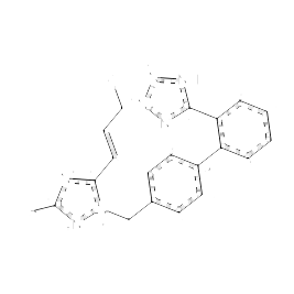 CC/C=C/c1nc(O)nn1Cc1ccc(-c2ccccc2-c2nnn[nH]2)cc1